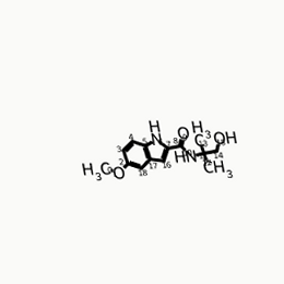 COc1ccc2[nH]c(C(=O)NC(C)(C)CO)cc2c1